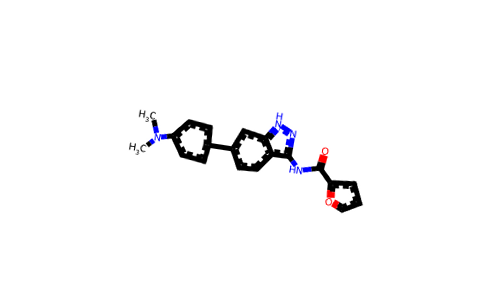 CN(C)c1ccc(-c2ccc3c(NC(=O)c4ccco4)n[nH]c3c2)cc1